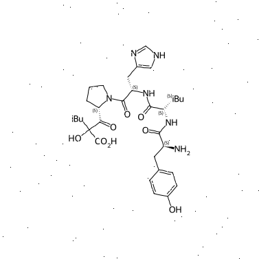 CCC(C)C(O)(C(=O)O)C(=O)[C@@H]1CCCN1C(=O)[C@H](Cc1c[nH]cn1)NC(=O)[C@@H](NC(=O)[C@@H](N)Cc1ccc(O)cc1)[C@@H](C)CC